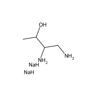 CC(O)C(N)CN.[NaH].[NaH]